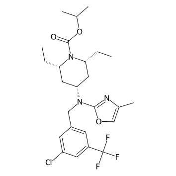 CC[C@@H]1C[C@H](N(Cc2cc(Cl)cc(C(F)(F)F)c2)c2nc(C)co2)C[C@H](CC)N1C(=O)OC(C)C